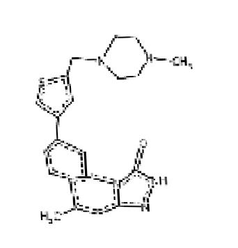 Cc1cc2n[nH]c(=O)n2c2cc(-c3csc(CN4CCN(C)CC4)c3)ccc12